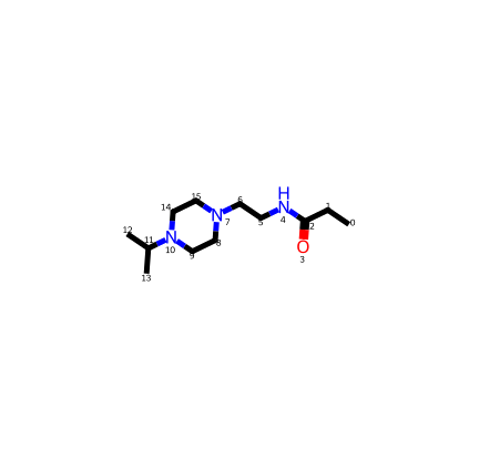 CCC(=O)NCCN1CCN(C(C)C)CC1